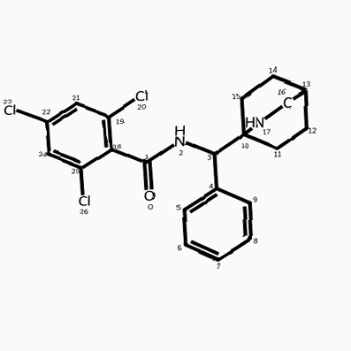 O=C(NC(c1ccccc1)C12CCC(CC1)CN2)c1c(Cl)cc(Cl)cc1Cl